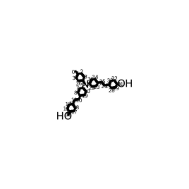 Cc1ccc(N(c2ccc(C=Cc3ccc(O)cc3)cc2)c2ccc(C=Cc3ccc(O)cc3)cc2)cc1